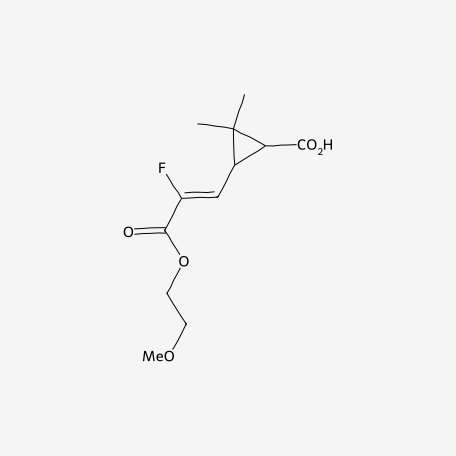 COCCOC(=O)C(F)=CC1C(C(=O)O)C1(C)C